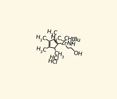 Cl.Cl.[CH2]=[Zr]([CH3])([CH2]CO)([NH]C(C)(C)C)[C]1=C(C)C(C)=C(C)C1C